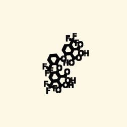 O=C(O)c1c(Oc2cccc(C(F)(F)F)c2Oc2ccc(C(F)(F)F)c(C(=O)O)c2C(=O)O)ccc(C(F)(F)F)c1C(=O)O